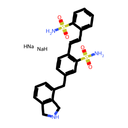 NS(=O)(=O)c1ccccc1C=Cc1ccc(Cc2cccc3c2CNC3)cc1S(N)(=O)=O.[NaH].[NaH]